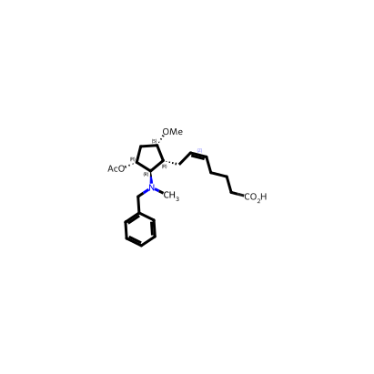 CO[C@H]1C[C@@H](OC(C)=O)[C@H](N(C)Cc2ccccc2)[C@H]1C/C=C\CCCC(=O)O